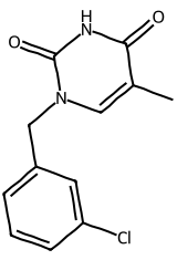 Cc1cn(Cc2cccc(Cl)c2)c(=O)[nH]c1=O